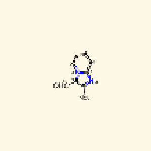 CCc1nc2ccccn2c1C=O